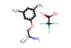 Cc1cc(C)cc(OC[C@@H](C)N)c1.O=C(O)C(F)(F)F